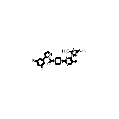 Cc1nc(C)n(-c2nc(N3CCN(C(=O)N4N=CCC4c4cc(F)cc(F)c4)CC3)ncc2F)n1